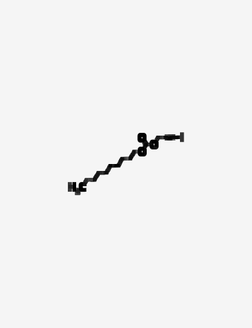 CCCCCCCCCCOC(=O)OCC#CI